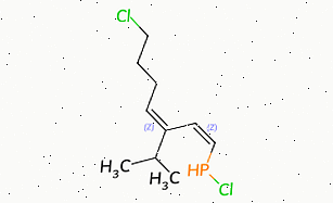 CC(C)C(/C=C\PCl)=C/CCCCl